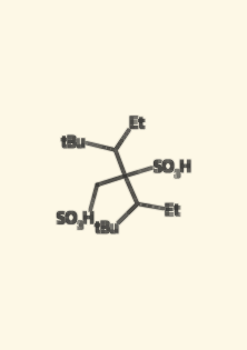 CCC(C(C)(C)C)C(CS(=O)(=O)O)(C(CC)C(C)(C)C)S(=O)(=O)O